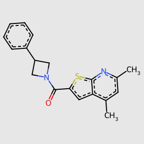 Cc1cc(C)c2cc(C(=O)N3CC(c4ccccc4)C3)sc2n1